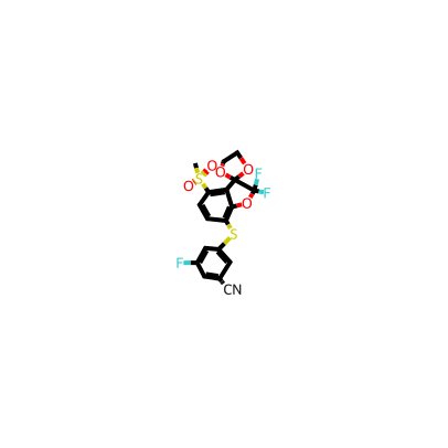 CS(=O)(=O)c1ccc(Sc2cc(F)cc(C#N)c2)c2c1C1(OCCO1)C(F)(F)O2